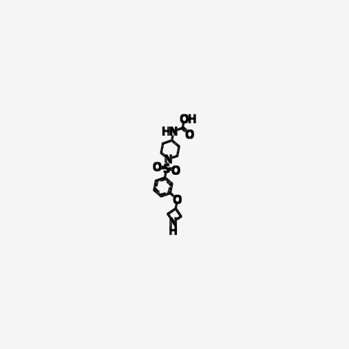 O=C(O)NC1CCN(S(=O)(=O)c2cccc(OC3CNC3)c2)CC1